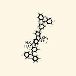 CC1(C)c2cc(-c3ccc(N(c4ccccc4)c4ccccc4)cn3)ccc2-c2nc3c(nc21)-c1ccc(N(c2ccccc2)c2ccccc2)cc1C3(C)C